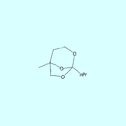 CCCC12OCCC(C)(CO1)O2